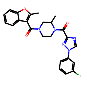 Cc1oc2ccccc2c1C(=O)N1CCN(C(=O)c2ncn(-c3cccc(Cl)c3)n2)C(C)C1